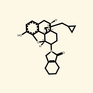 O=C1C2=C(CCCC2)CN1C1CC[C@@]2(O)[C@H]3Cc4ccc(O)c5c4[C@@]2(CCN3CC2CC2)[C@H]1O5